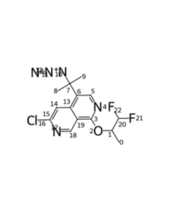 CC(Oc1ncc(C(C)(C)N=[N+]=[N-])c2cc(Cl)ncc12)C(F)F